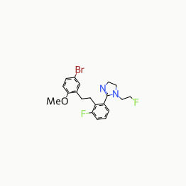 COc1ccc(Br)cc1CCc1c(F)cccc1C1=NCCN1CCF